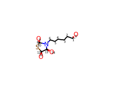 O=[C]CCCCCN1C(=O)SC(=O)C1=O